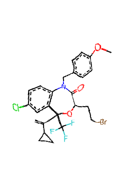 C=C(C1CC1)C1(C(F)(F)F)OC(CCBr)C(=O)N(Cc2ccc(OC)cc2)c2ccc(Cl)cc21